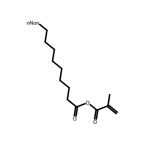 C=C(C)C(=O)OC(=O)CCCCCCCCCCCCCCCCC